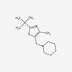 Cc1nc(C(C)(C)C)sc1CN1CCCCC1